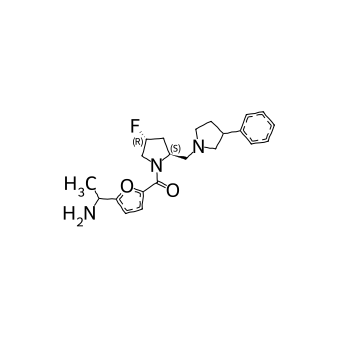 CC(N)c1ccc(C(=O)N2C[C@H](F)C[C@H]2CN2CCC(c3ccccc3)C2)o1